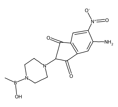 CB(O)N1CCN(C2C(=O)c3cc(N)c([N+](=O)[O-])cc3C2=O)CC1